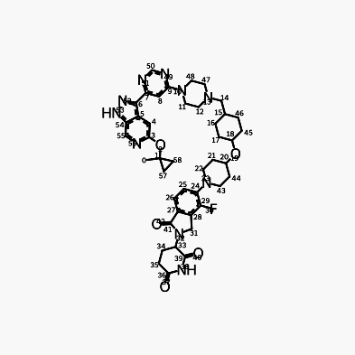 CC1(Oc2cc3c(-c4cc(N5CCN(CC6CCC(OC7CCN(c8ccc9c(c8F)CN(C8CCC(=O)NC8=O)C9=O)CC7)CC6)CC5)ncn4)n[nH]c3cn2)CC1